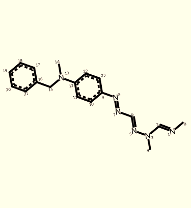 C/N=C/N(C)/N=C/N=N/c1ccc(N(C)Cc2ccccc2)cc1